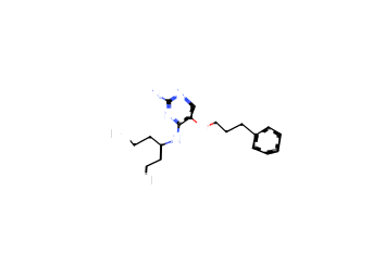 CCCC(CCC)Nc1nc(N)ncc1OCCCc1ccccc1